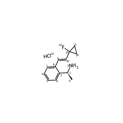 C[C@H](N)c1ccccc1/C=C/C1(F)CC1.Cl